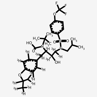 [2H]c1c([2H])c(C([2H])([2H])[C@]([2H])(N(C(=O)O)C(C)(C)C)[C@]([2H])(O)C([2H])([2H])N(CC(C)C)S(=O)(=O)c2ccc(OC(F)(F)F)cc2)c([2H])c([2H])c1OC([2H])(C([2H])[2H])C([2H])([2H])[2H]